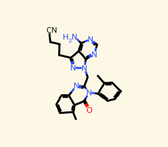 Cc1ccccc1-n1c(Cn2nc(CCCC#N)c3c(N)ncnc32)nc2cccc(C)c2c1=O